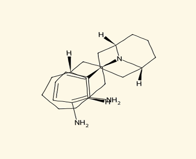 Nc1cccc([C@@H]2C[C@H]3CCC[C@@H](C2)N3[C@H]2C[C@@H]3CCCC[C@@H](C3)C2)c1N